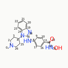 CN1CCC(n2c(Nc3ccc(C(=O)NO)cc3)nc3ccccc32)CC1